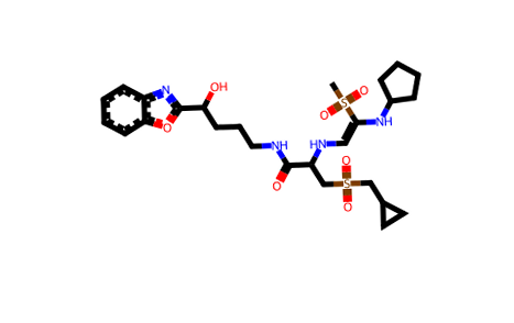 CS(=O)(=O)C(=CNC(CS(=O)(=O)CC1CC1)C(=O)NCCCC(O)c1nc2ccccc2o1)NC1CCCC1